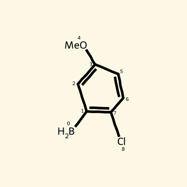 Bc1cc(OC)ccc1Cl